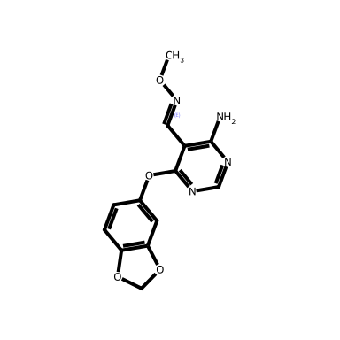 CO/N=C/c1c(N)ncnc1Oc1ccc2c(c1)OCO2